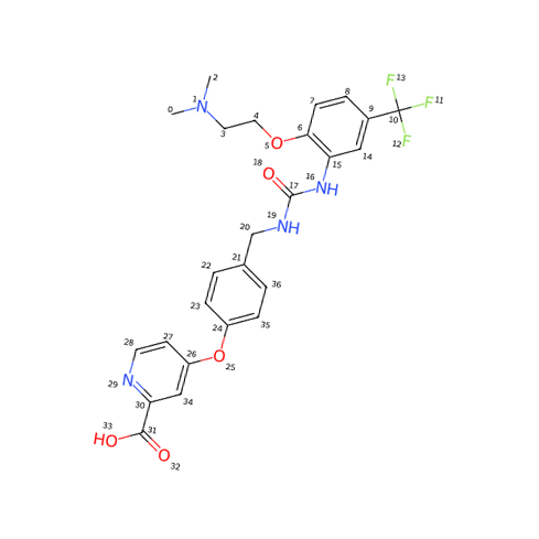 CN(C)CCOc1ccc(C(F)(F)F)cc1NC(=O)NCc1ccc(Oc2ccnc(C(=O)O)c2)cc1